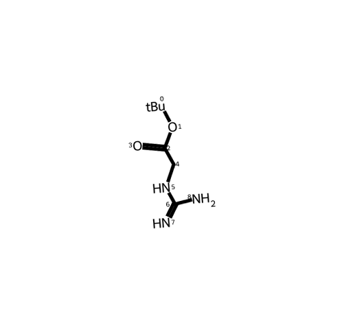 CC(C)(C)OC(=O)[CH]NC(=N)N